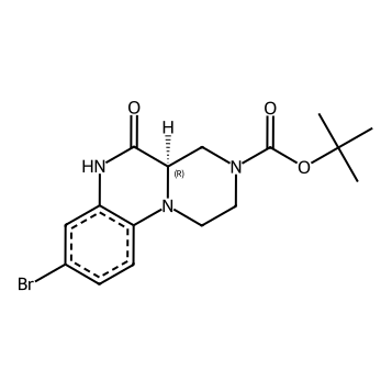 CC(C)(C)OC(=O)N1CCN2c3ccc(Br)cc3NC(=O)[C@H]2C1